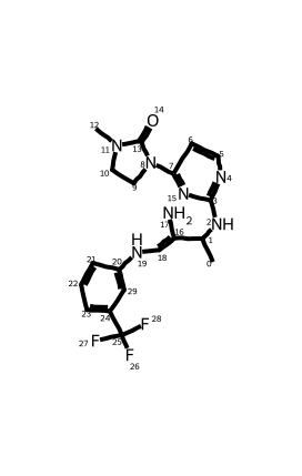 CC(Nc1nccc(N2CCN(C)C2=O)n1)/C(N)=C/Nc1cccc(C(F)(F)F)c1